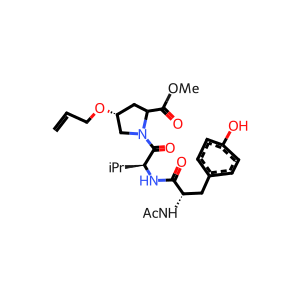 C=CCO[C@@H]1CC(C(=O)OC)N(C(=O)[C@@H](NC(=O)[C@H](Cc2ccc(O)cc2)NC(C)=O)C(C)C)C1